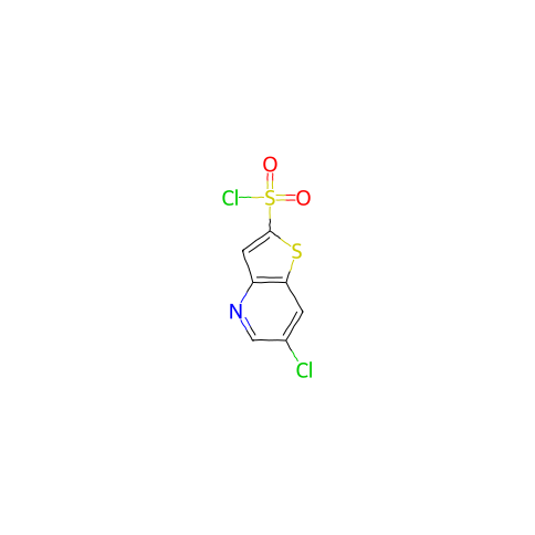 O=S(=O)(Cl)c1cc2ncc(Cl)cc2s1